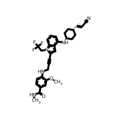 CNC(=O)c1ccc(NCC#Cc2cc3c(N[C@H]4CC[C@@H](/C=C/C#N)CC4)cccc3n2CC(F)(F)F)c(OC)c1